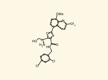 COc1ccc(-c2nc(C(=O)NCc3ccc(Cl)cc3Cl)c([C@@H](N)CO)o2)c2ccc(C(F)(F)F)nc12